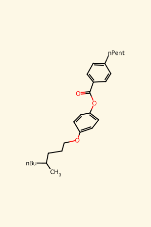 CCCCCc1ccc(C(=O)Oc2ccc(OCCCC(C)CCCC)cc2)cc1